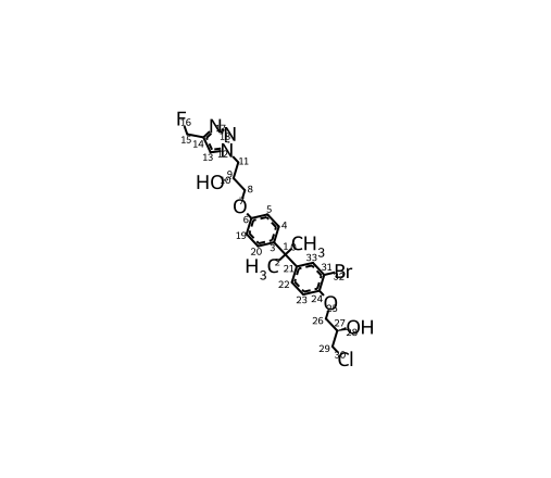 CC(C)(c1ccc(OC[C@H](O)Cn2cc(CF)nn2)cc1)c1ccc(OC[C@@H](O)CCl)c(Br)c1